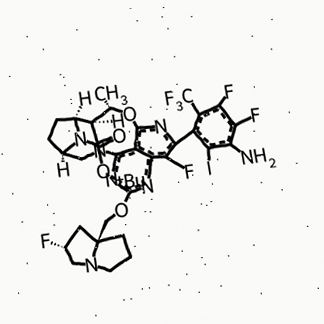 C[C@@H]1Oc2nc(-c3c(I)c(N)c(F)c(F)c3C(F)(F)F)c(F)c3nc(OC[C@@]45CCCN4C[C@H](F)C5)nc(c23)N2C[C@H]3CC[C@@H]([C@@H]12)N3C(=O)OC(C)(C)C